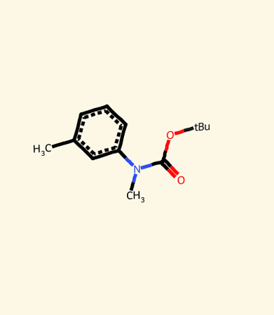 Cc1cccc(N(C)C(=O)OC(C)(C)C)c1